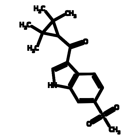 CC1(C)C(C(=O)c2c[nH]c3cc(S(C)(=O)=O)ccc23)C1(C)C